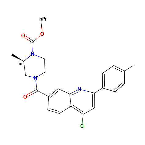 CCCOC(=O)N1CCN(C(=O)c2ccc3c(Cl)cc(-c4ccc(C)cc4)nc3c2)C[C@H]1C